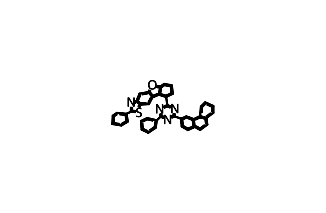 c1ccc(-c2nc(-c3ccc4ccc5ccccc5c4c3)nc(-c3cccc4oc5cc6nc(-c7ccccc7)sc6cc5c34)n2)cc1